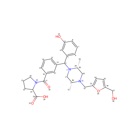 C[C@@H]1CN(C(c2cccc(O)c2)c2cccc(C(=O)N3CCCC3C(=O)O)c2)[C@H](C)CN1Cc1ccc(CO)o1